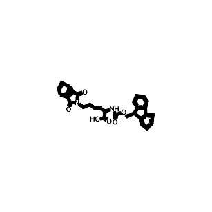 O=C(NC(CCCCN1C(=O)C2C3C=CC(C3)C2C1=O)C(=O)O)OCC1c2ccccc2-c2ccccc21